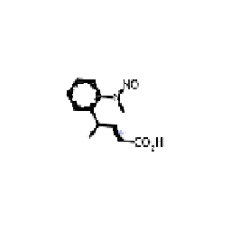 CC(/C=C/C(=O)O)c1ccccc1N(C)N=O